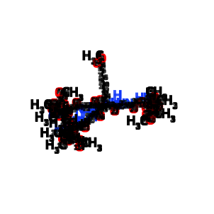 COC(=O)CCCCCCCCCCCC(=O)NC(CCC(=O)NCCCNC(=O)CCO[C@@H]1OC(COC(C)=O)[C@H](OC(C)=O)C(OC(C)=O)C1NC(C)=O)(CCC(=O)NCCCNC(=O)CCO[C@@H]1OC(COC(C)=O)[C@H](OC(C)=O)C(OC(C)=O)C1NC(C)=O)CCC(=O)NCCCNC(=O)CCO[C@@H]1OC(COC(C)=O)[C@H](OC(C)=O)C(OC(C)=O)C1NC(C)=O